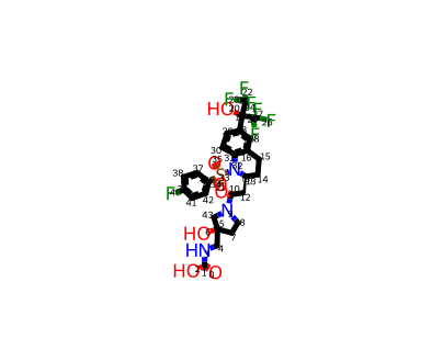 O=C(O)NCC1(O)CCN(C(=O)C[C@@H]2CCc3cc(C(O)(C(F)(F)F)C(F)(F)F)ccc3N2S(=O)(=O)c2ccc(F)cc2)C1